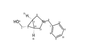 OC[C@@H]1[C@H]2CN(Cc3ccccc3)C[C@@H]12